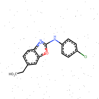 O=C(O)Cc1ccc2nc(Nc3ccc(Cl)cc3)oc2c1